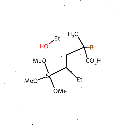 CCC(CC(C)(Br)C(=O)O)[Si](OC)(OC)OC.CCO